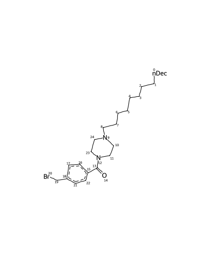 CCCCCCCCCCCCCCCCCCN1CCN(C(=O)c2ccc(CBr)cc2)CC1